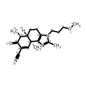 COCCCn1c(C)nc2c1CC[C@H]1[C@H](C)C(=O)C(C#N)=C[C@]21C